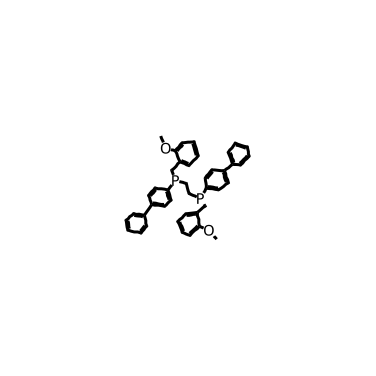 COc1ccccc1CP(CCP(Cc1ccccc1OC)c1ccc(-c2ccccc2)cc1)c1ccc(-c2ccccc2)cc1